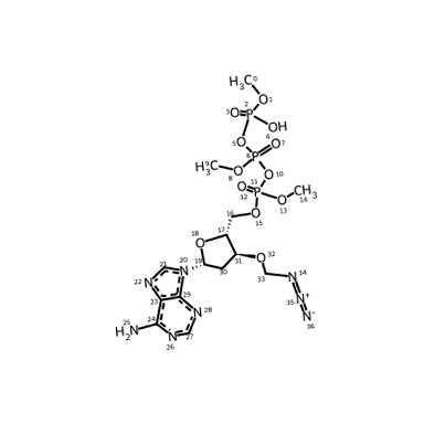 COP(=O)(O)OP(=O)(OC)OP(=O)(OC)OC[C@H]1O[C@@H](n2cnc3c(N)ncnc32)C[C@@H]1OCN=[N+]=[N-]